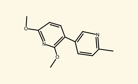 COc1ccc(-c2ccc(C)nc2)c(OC)n1